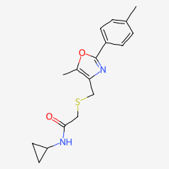 Cc1ccc(-c2nc(CSCC(=O)NC3CC3)c(C)o2)cc1